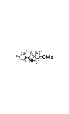 COc1ccc([C@@H]2CCc3ccccc3[C]2N)cc1